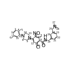 Cc1ccc(C)c(N2CCN(c3cc(Cl)c(C(=O)NCc4cccc(CN(C)C)c4)cc3[N+](=O)[O-])CC2)c1